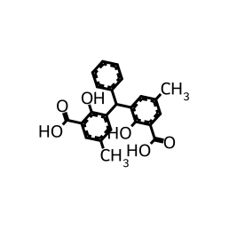 Cc1cc(C(=O)O)c(O)c(C(c2ccccc2)c2cc(C)cc(C(=O)O)c2O)c1